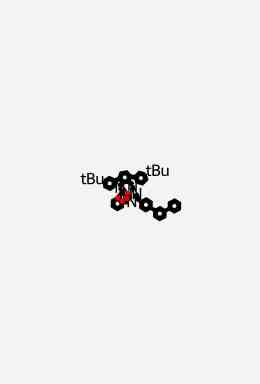 CC(C)(C)c1ccc2c(c1)c1ccc3c4cc(C(C)(C)C)ccc4n(-c4nc(-c5ccccc5)nc(-c5ccc(-c6cccc(-c7ccccc7)c6)cc5)n4)c3c1n2-c1ccccc1